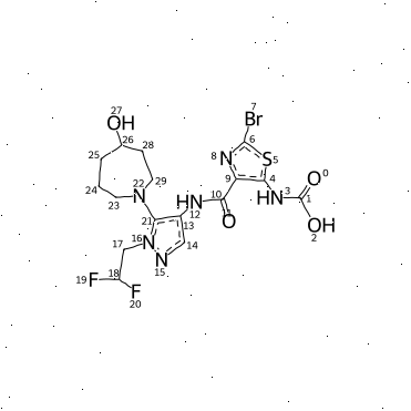 O=C(O)Nc1sc(Br)nc1C(=O)Nc1cnn(CC(F)F)c1N1CCCC(O)CC1